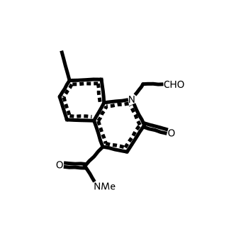 CNC(=O)c1cc(=O)n(CC=O)c2cc(C)ccc12